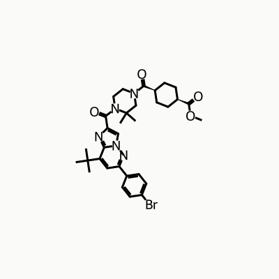 COC(=O)[C@H]1CC[C@@H](C(=O)N2CCN(C(=O)c3cn4nc(-c5ccc(Br)cc5)cc(C(C)(C)C)c4n3)C(C)(C)C2)CC1